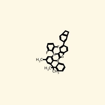 Cc1cc2c3c(c1)C(C)(C)c1ccccc1B3c1sc3ccc(-c4ccc5c(c4)CC5)cc3c1N2c1c(F)cccc1F